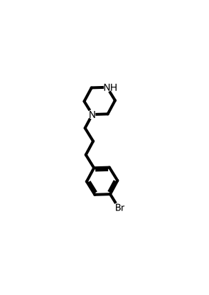 Brc1ccc(CCCN2CCNCC2)cc1